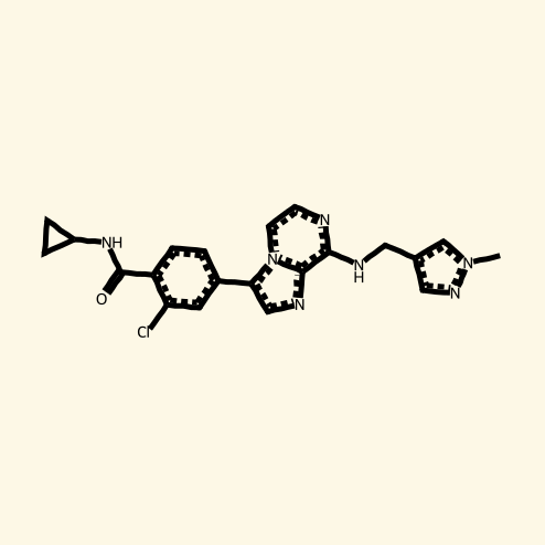 Cn1cc(CNc2nccn3c(-c4ccc(C(=O)NC5CC5)c(Cl)c4)cnc23)cn1